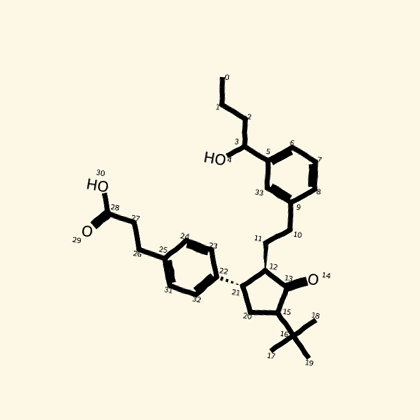 CCCC(O)c1cccc(CC[C@H]2C(=O)C(C(C)(C)C)C[C@@H]2c2ccc(CCC(=O)O)cc2)c1